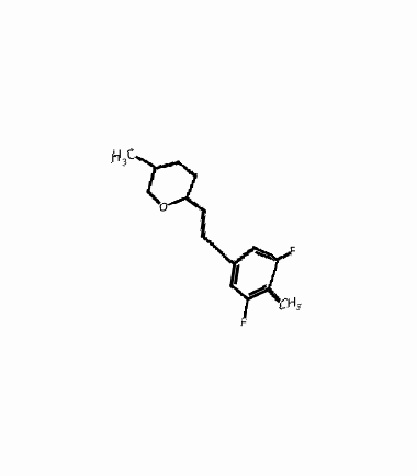 Cc1c(F)cc(CCC2CCC(C)CO2)cc1F